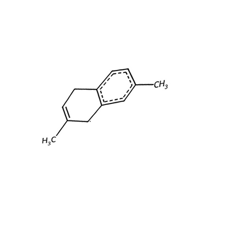 CC1=CCc2ccc(C)cc2[CH]1